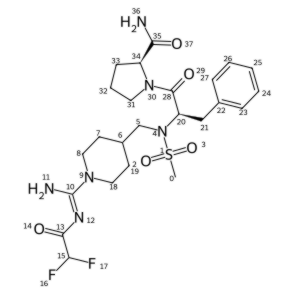 CS(=O)(=O)N(CC1CCN(C(N)=NC(=O)C(F)F)CC1)[C@H](Cc1ccccc1)C(=O)N1CCC[C@H]1C(N)=O